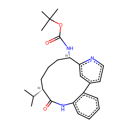 CC(C)[C@@H]1CCC[C@H](NC(=O)OC(C)(C)C)c2cc(ccn2)-c2ccccc2NC1=O